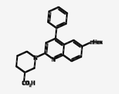 CCCCCCc1ccc2nc(N3CCCC(C(=O)O)C3)cc(-c3ccccc3)c2c1